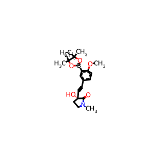 COc1ccc(C#C[C@]2(O)CCN(C)C2=O)cc1B1OC(C)(C)C(C)(C)O1